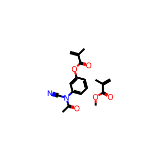 C=C(C)C(=O)OC.C=C(C)C(=O)Oc1cccc(N(C#N)C(C)=O)c1